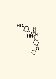 Oc1ccc(C2NN=C(c3ccc(OC4CCCC4)cc3)N2)cc1